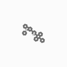 c1ccc(-c2c3ccccc3c(-c3ccc(-c4ccc5c6ccccc6n(-c6ccccc6)c5c4)cn3)c3ccccc23)cc1